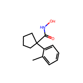 Cc1ccccc1C1(C(=O)NO)CCCC1